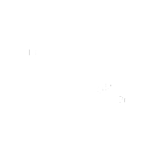 CCCCCCCCCCCCCCCCOC(=O)CCCBr